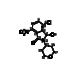 O=C1c2c(Cl)ccc([N+](=O)[O-])c2C(=O)N1C1CCOCC1